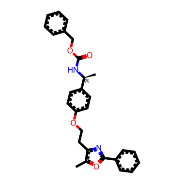 Cc1oc(-c2ccccc2)nc1CCOc1ccc([C@H](C)NC(=O)OCc2ccccc2)cc1